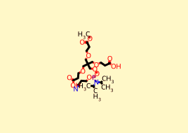 COC(=O)CCOCC(COCCC(=O)O)(COCCC(=O)O)COOP(OCCC#N)N(C(C)C)C(C)C